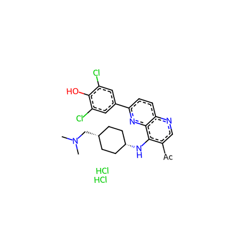 CC(=O)c1cnc2ccc(-c3cc(Cl)c(O)c(Cl)c3)nc2c1N[C@H]1CC[C@@H](CN(C)C)CC1.Cl.Cl